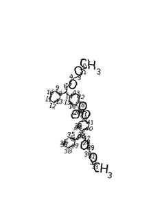 CCOCCOCC(c1ccccc1)c1ccc(OC(=O)Oc2ccc(C(COCCOCC)c3ccccc3)cc2)cc1